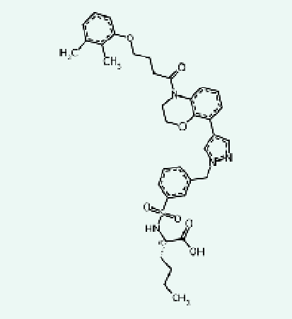 CCCC[C@H](NS(=O)(=O)c1cccc(Cn2cc(-c3cccc4c3OCCN4C(=O)CCCOc3cccc(C)c3C)cn2)c1)C(=O)O